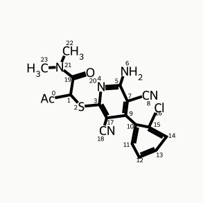 CC(=O)C(Sc1nc(N)c(C#N)c(-c2ccccc2Cl)c1C#N)C(=O)N(C)C